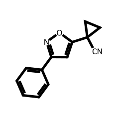 N#CC1(c2cc(-c3ccccc3)no2)CC1